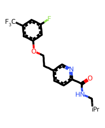 CC(C)CNC(=O)c1ccc(CCOc2cc(F)cc(C(F)(F)F)c2)cn1